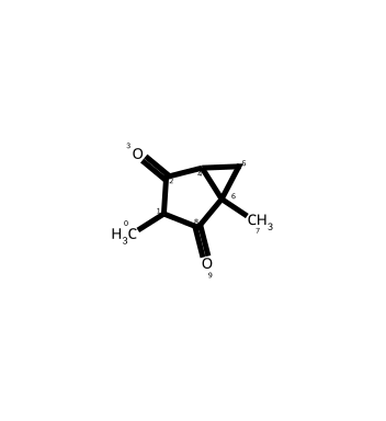 CC1C(=O)C2CC2(C)C1=O